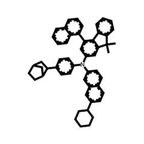 CC1(C)c2ccccc2-c2c(-c3cccc4ccccc34)cc(N(c3ccc(C4CC5CCC4C5)cc3)c3ccc4ccc(C5CCCCC5)cc4c3)cc21